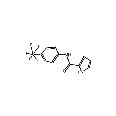 O=C(Nc1ccc(S(F)(F)(F)(F)F)cc1)c1ccc[nH]1